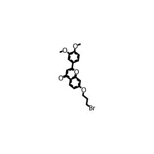 COc1ccc(-c2cc(=O)c3ccc(OCCCBr)cc3o2)cc1OC